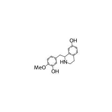 COc1ccc(CC2NCCc3ccc(O)cc32)cc1O